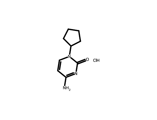 Cl.Nc1ccn(C2CCCC2)c(=O)n1